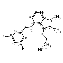 CCCn1c(C)c(C)c2nccc(OCc3cc(F)cc(F)c3)c21.Cl